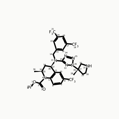 CC(C)OC(=O)N1c2ccc(C(F)(F)F)cc2[C@H](N(Cc2cc(C(F)(F)F)cc(C(F)(F)F)c2)c2nnn([C@@]3(C)CCNC3)n2)C[C@@H]1C